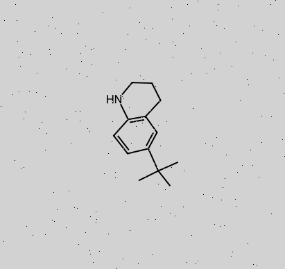 CC(C)(C)c1ccc2c(c1)CCCN2